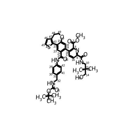 COC(=O)c1nc(C(=O)NCC(C)(C)CO)ccc1-c1cc2c(cc1C(=O)Nc1ccc(CNC(=O)OC(C)(C)C)cc1)-c1sccc1CCO2